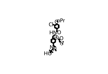 CCCOc1ccc(C(=O)N[C@@H](CNC(=O)CN(C)C)Cc2ccc(-c3cn(C)c(C(C)(C)O)n3)cc2)cc1Cl